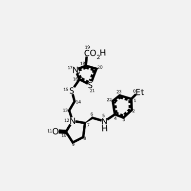 CCc1ccc(NC[C@H]2CCC(=O)N2CCSc2nc(C(=O)O)cs2)cc1